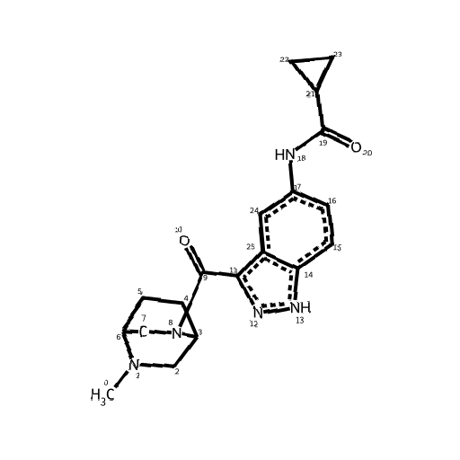 CN1CC2CCC1CN2C(=O)c1n[nH]c2ccc(NC(=O)C3CC3)cc12